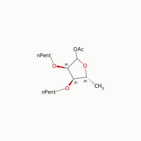 CCCCCO[C@@H]1[C@@H](C)OC(OC(C)=O)[C@@H]1OCCCCC